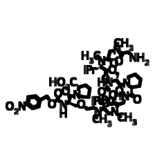 CC(C)[C@@H](COC[C@@H](NC(=O)OCc1ccc([N+](=O)[O-])cc1)C(=O)N1CCCC[C@H]1C(=O)O)N(C)C(=O)CN(C)C(=O)CNC(=O)[C@@H]1CCCCN1C(=O)[C@@H](COC(=O)[C@H](C(C)C)N(C)C(=O)CN(C)C(=O)CN)NC(=O)OC(C)(C)C